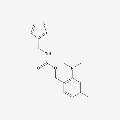 Cc1ccc(COC(=O)NCc2ccsc2)c(N(C)C)c1